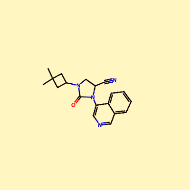 CC1(C)CC(N2CC(C#N)N(c3cncc4ccccc34)C2=O)C1